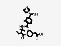 CCC(C(=O)N1CCC(CC(=O)O)CC1)C(C)(C)NC(=O)c1ccc(C(=N)n2ccnc2)cc1F